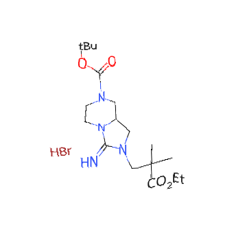 Br.CCOC(=O)C(C)(C)CN1CC2CN(C(=O)OC(C)(C)C)CCN2C1=N